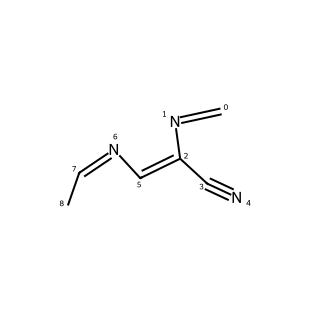 C=N/C(C#N)=C\N=C/C